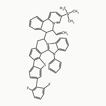 C=CC1C(C2Cc3ccc4c(sc5cc(-c6c(F)cccc6F)ccc54)c3-c3n(-c4ccccc4)c4ccccc4[n+]32)c2ccccc2-c2ccc([Si](C)(C)C)c[n+]21